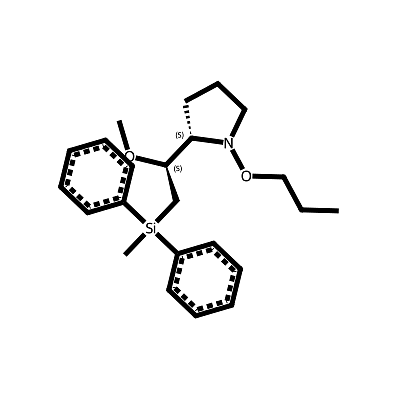 CCCON1CCC[C@H]1[C@@H](C[Si](C)(c1ccccc1)c1ccccc1)OC